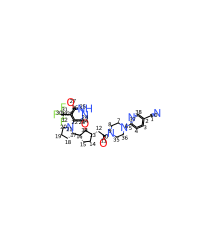 N#Cc1ccc(N2CCN(C(=O)C[C@@H]3CC[C@H]([C@@H]4CCCN4c4cn[nH]c(=O)c4C(F)(F)F)C3=O)CC2)nc1